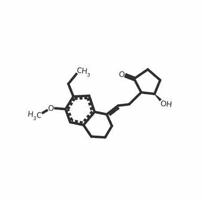 CCc1cc2c(cc1OC)CCCC2=CCC1C(=O)CC[C@H]1O